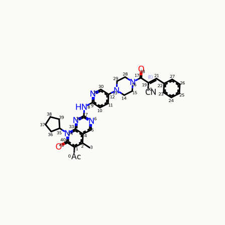 CC(=O)c1c(C)c2cnc(Nc3ccc(N4CCN(C(=O)/C(C#N)=C/c5ccccc5)CC4)cn3)nc2n(C2CCCC2)c1=O